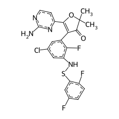 CC1(C)OC(c2ccnc(N)n2)=C(c2cc(Cl)cc(NSc3cc(F)ccc3F)c2F)C1=O